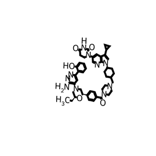 CC[C@H]1CN(c2cc(-c3ccccc3O)nnc2N)C[C@@H](c2ccc(C(=O)N3CCN(CC4CCC(n5cc(C6CC6)c6cc(N7CCC(=O)NC7=O)cnc65)CC4)CC3)cc2)O1